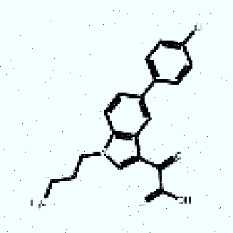 CCCCn1cc(C(=O)C(=O)O)c2cc(-c3ccc(Cl)cc3)ccc21